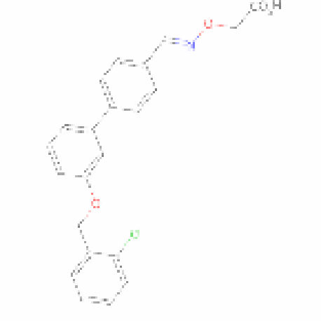 O=C(O)CON=Cc1ccc(-c2cccc(OCc3ccccc3Cl)c2)cc1